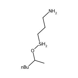 CCCCC(C)O[SiH2]CCCN